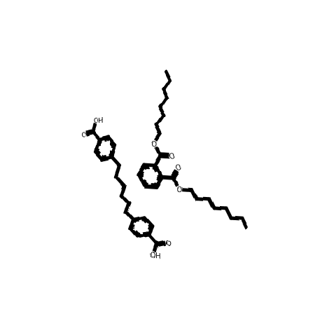 CCCCCCCCOC(=O)c1ccccc1C(=O)OCCCCCCCC.O=C(O)c1ccc(CCCCCCc2ccc(C(=O)O)cc2)cc1